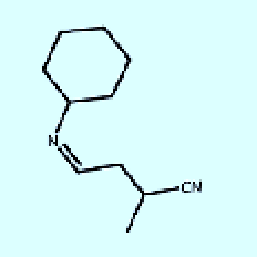 CC(C#N)C/C=N\C1CCCCC1